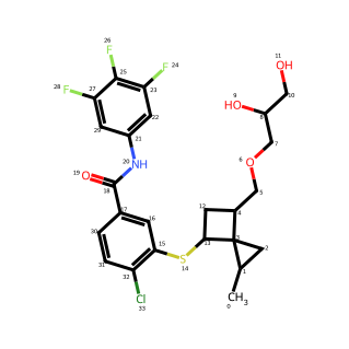 CC1CC12C(COCC(O)CO)CC2Sc1cc(C(=O)Nc2cc(F)c(F)c(F)c2)ccc1Cl